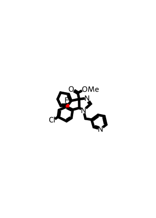 COC(=O)C1(C2=CCCC=C2)N=CN(Cc2cccnc2)C1c1ccc(Cl)cc1F